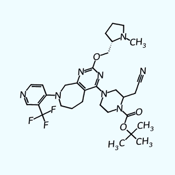 CN1CCC[C@H]1COc1nc2c(c(N3CCN(C(=O)OC(C)(C)C)C(CC#N)C3)n1)CCCN(c1ccncc1C(F)(F)F)C2